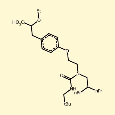 CCCC(CCC)CN(CCOc1ccc(CC(OCC)C(=O)O)cc1)C(=O)NCC(C)(C)C